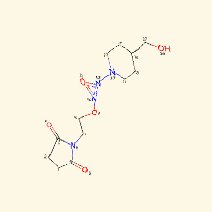 O=C1CCC(=O)N1CCOn1on1N1CCC(CO)CC1